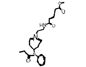 CCC(=O)N(c1ccccc1)C1CCN(CCNC(=O)CCCC(=O)OC)CC1